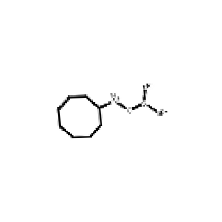 CCC[Si](CCC)O[SiH2]C1CCCCCCC1